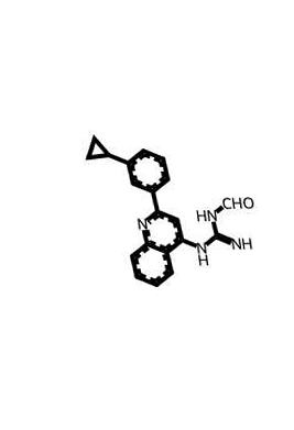 N=C(NC=O)Nc1cc(-c2cccc(C3CC3)c2)nc2ccccc12